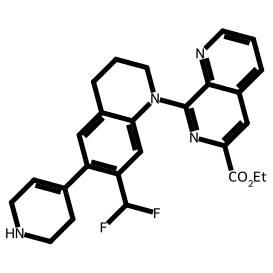 CCOC(=O)c1cc2cccnc2c(N2CCCc3cc(C4=CCNCC4)c(C(F)F)cc32)n1